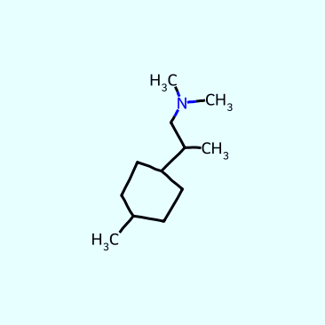 CC1CCC(C(C)CN(C)C)CC1